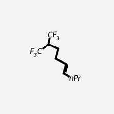 CCC/C=C/CCC(C(F)(F)F)C(F)(F)F